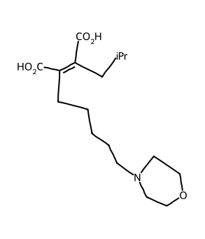 CC(C)CC(C(=O)O)=C(CCCCCN1CCOCC1)C(=O)O